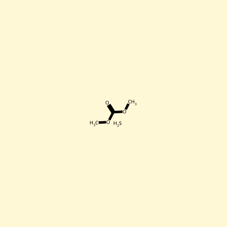 COC(=O)OC.S